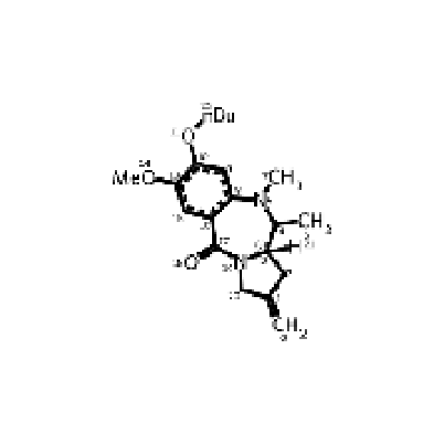 C=C1C[C@H]2C(C)N(C)c3cc(OCCCC)c(OC)cc3C(=O)N2C1